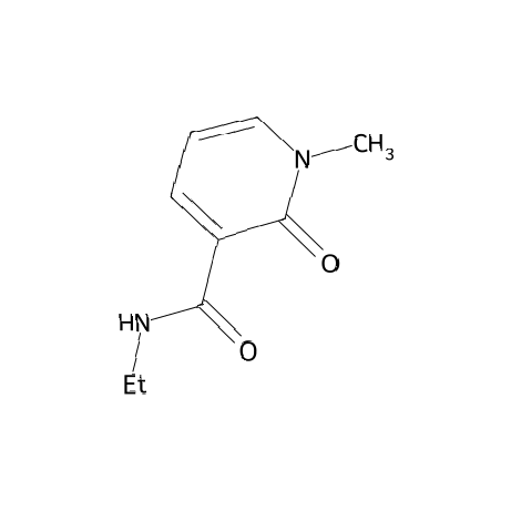 CCNC(=O)c1cccn(C)c1=O